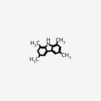 CC1=c2[nH]c3c(C)cc(C)cc3c2=CC(C)C1